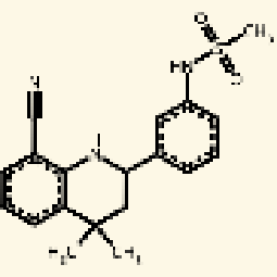 CC1(C)CC(c2cccc(NS(C)(=O)=O)c2)Nc2c(C#N)cccc21